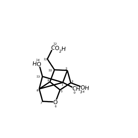 CC12C3C(O)C4OCC1(C4C3CC(=O)O)C2O